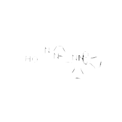 CN(CCO)c1cccc(CC(N)c2ccccc2-c2noc3ccccc23)n1